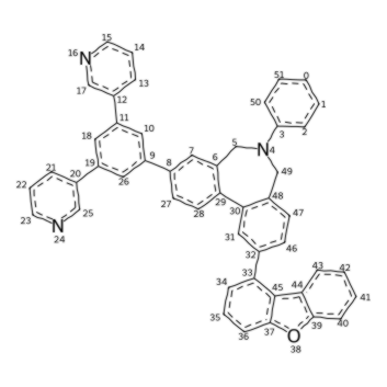 c1ccc(N2Cc3cc(-c4cc(-c5cccnc5)cc(-c5cccnc5)c4)ccc3-c3cc(-c4cccc5oc6ccccc6c45)ccc3C2)cc1